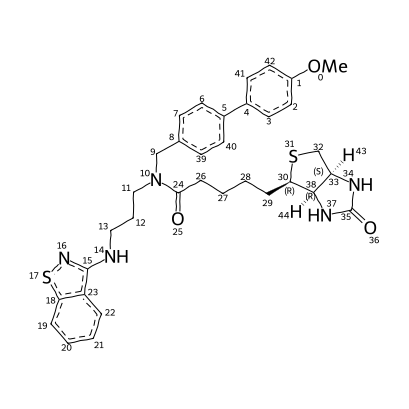 COc1ccc(-c2ccc(CN(CCCNc3nsc4ccccc34)C(=O)CCCC[C@H]3SC[C@H]4NC(=O)N[C@H]43)cc2)cc1